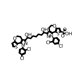 O=S(=O)(O)c1cc2c(s1)-c1c(c(C(O)CCCCCC(O)c3nn(-c4ccc(Cl)cc4Cl)c4c3CCOc3ccsc3-4)nn1-c1ccc(Cl)cc1Cl)CCO2